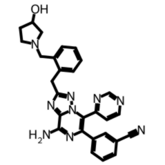 N#Cc1cccc(-c2nc(N)c3nc(Cc4ccccc4CN4CCC(O)C4)nn3c2-c2ccncn2)c1